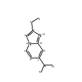 CCc1cn2ccc(C(C)C)cc2n1